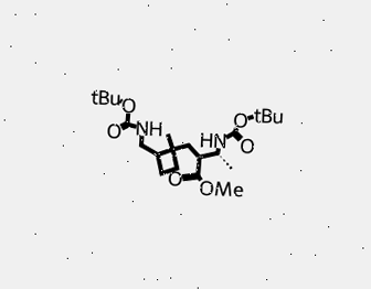 COC(=O)C(CC1(C)CCC1CNC(=O)OC(C)(C)C)[C@@H](C)NC(=O)OC(C)(C)C